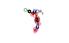 Cc1ncc2c(c1OC(=O)O[C@@H]1CO[C@H]3[C@@H]1OC[C@H]3OC(=O)N1CCC(O[N+](=O)[O-])CC1)COC2c1ccc(Cl)cc1